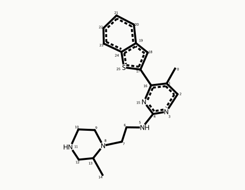 Cc1cnc(NCCN2CCNCC2C)nc1-c1cc2ccccc2s1